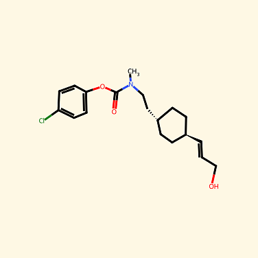 CN(CC[C@H]1CC[C@H](/C=C/CO)CC1)C(=O)Oc1ccc(Cl)cc1